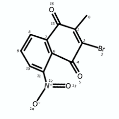 CC1=C(Br)C(=O)c2c(cccc2[N+](=O)[O-])C1=O